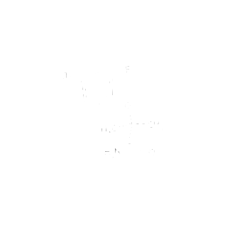 CC(C)(Oc1ccc(Cl)cc1F)C(N)=O